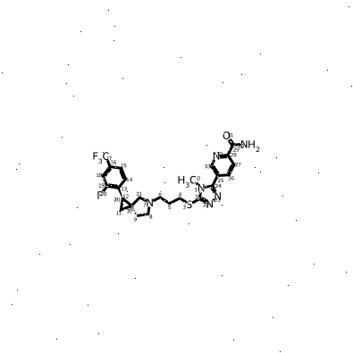 Cn1c(SCCCN2CC[C@@]3(C[C@H]3c3ccc(C(F)(F)F)cc3F)C2)nnc1-c1ccc(C(N)=O)nc1